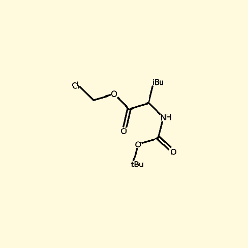 CCC(C)C(NC(=O)OC(C)(C)C)C(=O)OCCl